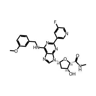 CNC(=O)[C@H]1O[C@@H](n2cnc3c(NCc4cccc(OC)c4)nc(-c4cncc(F)c4)nc32)C[C@@H]1O